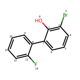 Oc1c(Br)cccc1-c1ccccc1F